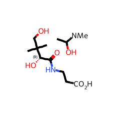 CC(C)(CO)[C@@H](O)C(=O)NCCC(=O)O.CNC(C)O